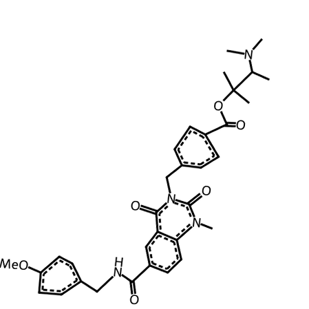 COc1ccc(CNC(=O)c2ccc3c(c2)c(=O)n(Cc2ccc(C(=O)OC(C)(C)C(C)N(C)C)cc2)c(=O)n3C)cc1